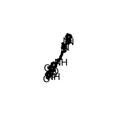 Cc1cn(CCCCCCNc2ccc3c(c2)C(=O)N(C2CCC(=O)NC2=O)C3=O)nc1-c1cnc2ccccc2n1